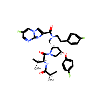 CN[C@@H](C)C(=O)N[C@H](C(=O)N1C[C@@H](Oc2ccc(F)cc2)C[C@H]1CN(CCc1ccc(F)cc1)C(=O)c1cn2cc(F)cnc2n1)[C@@H](C)OC